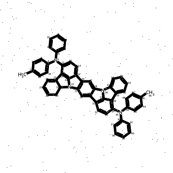 Cc1ccc(N(c2ccccc2)c2ccc3c4cc5c(cc4n4c3c2C2=CC=CCC24)c2ccc(N(c3ccccc3)c3ccc(C)cc3)c3c4ccccc4n5c23)cc1